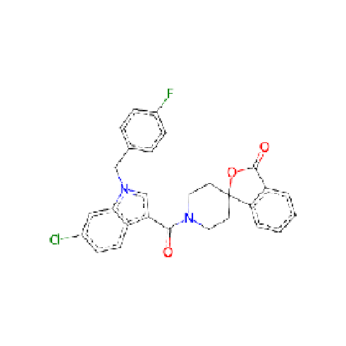 O=C1OC2(CCN(C(=O)c3cn(Cc4ccc(F)cc4)c4cc(Cl)ccc34)CC2)c2ccccc21